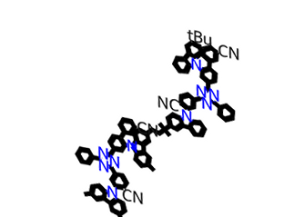 Cc1ccc2c(c1)c1cc(C)ccc1n2-c1cc(-c2nc(-c3ccccc3)nc(-c3ccc(-c4cccc(C#N)c4)c(-n4c5ccc(C)cc5c5cc(CCC(C)(C)c6ccc7c(c6)c6ccccc6n7-c6cc(-c7nc(-c8ccccc8)nc(-c8ccc(-c9cccc(C#N)c9)c(-n9c%10ccccc%10c%10cc(C(C)(C)C)ccc%109)c8)n7)ccc6C#N)ccc54)c3)n2)ccc1C#N